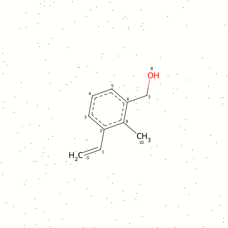 C=Cc1cccc([CH]O)c1C